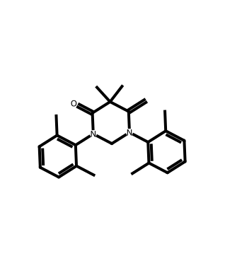 C=C1N(c2c(C)cccc2C)CN(c2c(C)cccc2C)C(=O)C1(C)C